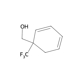 OCC1(C(F)(F)F)C=CC=CC1